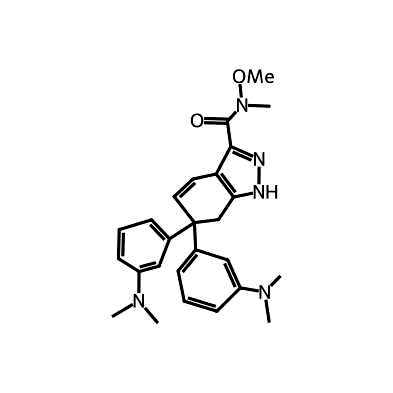 CON(C)C(=O)c1n[nH]c2c1C=CC(c1cccc(N(C)C)c1)(c1cccc(N(C)C)c1)C2